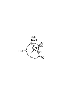 O=[C]1CN2C[C](=O)[Mn]13[C](=O)CN(C[C]3=O)CC(O)C2.[NaH].[NaH]